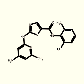 Cc1cc(N)cc(Nc2ncc(C(=O)Nc3c(C)cccc3C)s2)n1